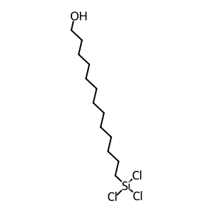 OCCCCCCCCCCCCC[Si](Cl)(Cl)Cl